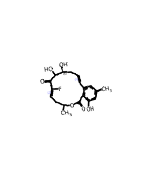 Cc1cc(O)c2c(c1)/C=C/C[C@H](O)C(O)C(=O)/C(F)=C/CC(C)OC2=O